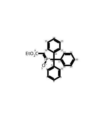 CCOC(=O)/C=[P+](\[O-])C(c1ccccc1)(c1ccccc1)c1ccccc1